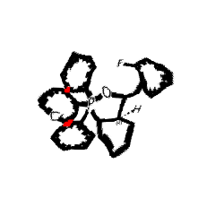 Fc1ccccc1C1OP(c2ccccc2)(c2ccccc2)(c2ccccc2)C2C=CC=C[C@H]12